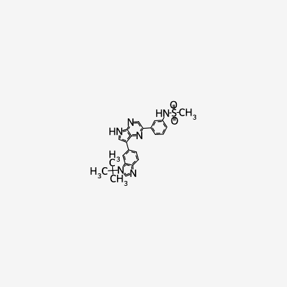 CC(C)(C)n1cnc2ccc(-c3c[nH]c4ncc(-c5cccc(NS(C)(=O)=O)c5)nc34)cc21